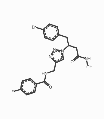 O=C(CC(Cc1ccc(Br)cc1)n1cc(CNC(=O)c2ccc(F)cc2)nn1)NO